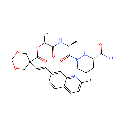 CCc1ccc2ccc(/C=C/C3(C(=O)O[C@H](C(=O)N[C@@H](C)C(=O)N4CCC[C@@H](C(N)=O)N4)C(C)C)COCOC3)cc2n1